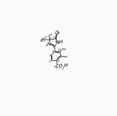 Cc1c(C(=O)O)ccc(C2=NC(C)(C(C)C)C(=O)N2)c1C